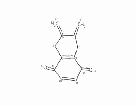 C=C1CC2=C(CC1=C)C(=O)C=CC2=O